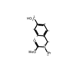 COC(=O)N(Cc1ccc(C(=O)O)cc1)C(C)C